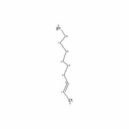 [CH2]CC=CCCCCCCC([CH2])C